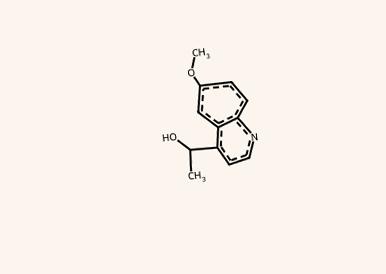 COc1ccc2nccc(C(C)O)c2c1